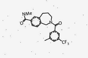 CNC(=O)c1ccc2c(c1)CCCN(C(=O)c1cc(C)cc(C(F)(F)F)c1)C2